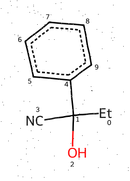 CCC(O)(C#N)c1ccccc1